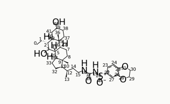 CC[C@H]1[C@@H](O)[C@@H]2[C@H](CC[C@]3(C)[C@@H]([C@H](C)CCNC(=O)N[S+]([O-])c4ccc5c(c4)OCCO5)CC[C@@H]23)[C@@]2(C)CC[C@@H](O)C[C@@H]12